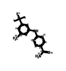 CC(C)(F)c1cc(Nc2ncc(C(N)=O)cn2)cc(C(F)(F)F)c1